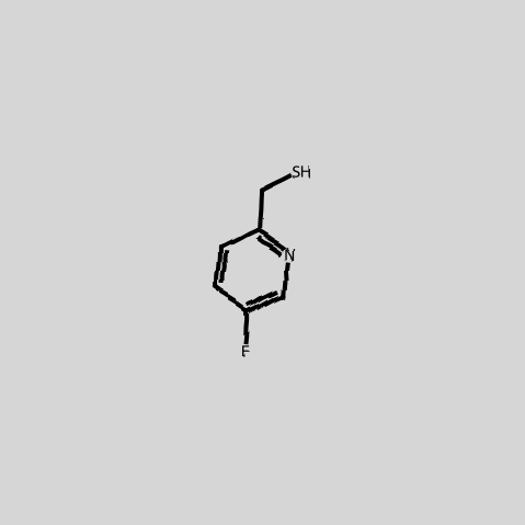 Fc1ccc(CS)nc1